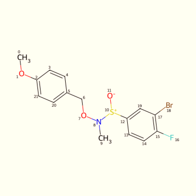 COc1ccc(CON(C)[S+]([O-])c2ccc(F)c(Br)c2)cc1